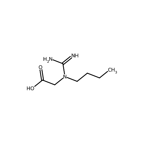 CCCCN(CC(=O)O)C(=N)N